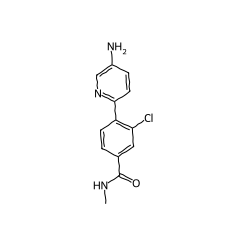 CNC(=O)c1ccc(-c2ccc(N)cn2)c(Cl)c1